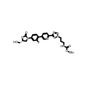 CC(C)(C)OC(=O)NCCCn1nnc(-c2ccc(-c3ccc(N4C[C@H](CO)OC4=O)cc3F)cn2)n1